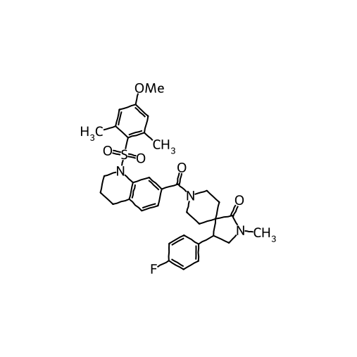 COc1cc(C)c(S(=O)(=O)N2CCCc3ccc(C(=O)N4CCC5(CC4)C(=O)N(C)CC5c4ccc(F)cc4)cc32)c(C)c1